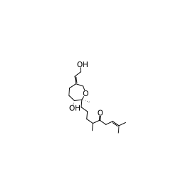 CC(C)=CCC(=O)C(C)CCC[C@]1(C)OC/C(=C\CO)CC[C@H]1O